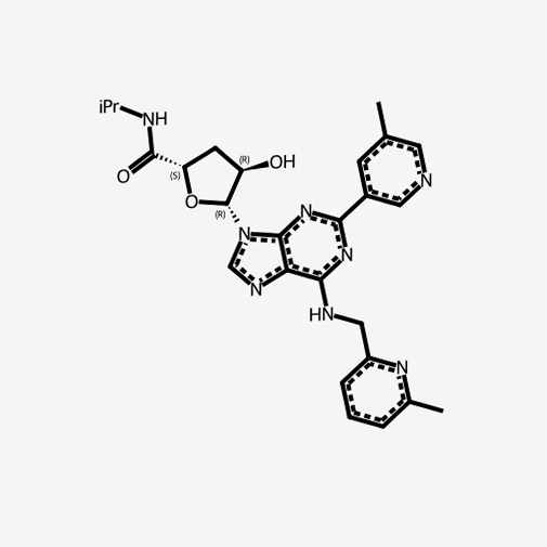 Cc1cncc(-c2nc(NCc3cccc(C)n3)c3ncn([C@@H]4O[C@H](C(=O)NC(C)C)C[C@H]4O)c3n2)c1